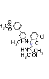 Cc1cc(-c2cccc(S(C)(=O)=O)c2)ccc1N/C(=C\C(=N)C(C)(C)O)c1cccc(Cl)c1Cl